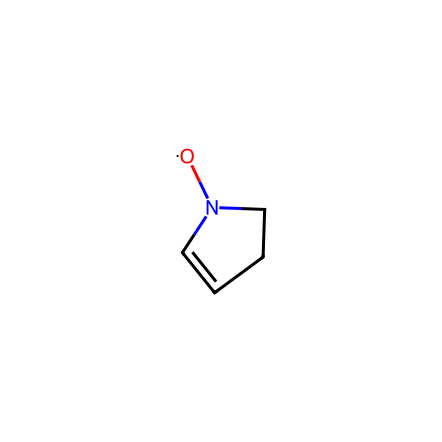 [O]N1C=CCC1